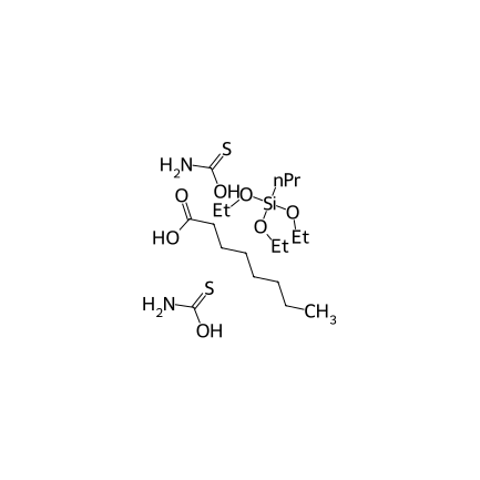 CCCCCCCC(=O)O.CCC[Si](OCC)(OCC)OCC.NC(O)=S.NC(O)=S